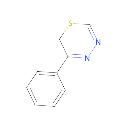 C1=NN=C(c2ccccc2)CS1